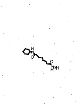 O=C(CCCCCCC(=O)NC1CCCCC1)NO